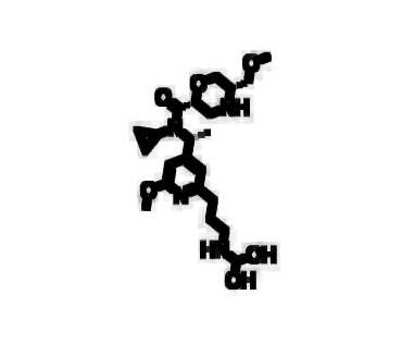 COC[C@H]1CO[C@@H](C(=O)N(C2CC2)[C@H](C)c2cc(CCCNC(O)O)nc(OC)c2)CN1